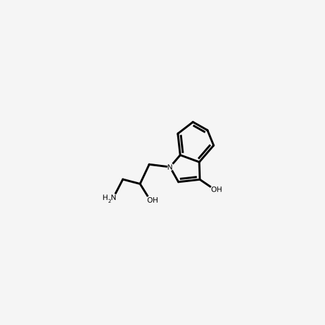 NCC(O)Cn1cc(O)c2ccccc21